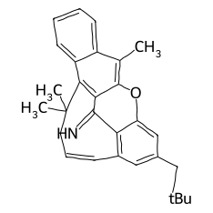 Cc1c2ccccc2c2c3c(=N)c4c(cc(CC(C)(C)C)cc4oc13)/C=C\CC2(C)C